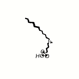 CCCCCCCCCCCCN(C)CCCCS(=O)(=O)O